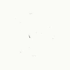 CO[C@H]1C(C)C[C@H](/C=C/P(=O)(O)OC)[C@H]1OP(=O)(O)OC(C)C